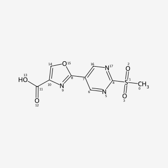 CS(=O)(=O)c1ncc(-c2nc(C(=O)O)co2)cn1